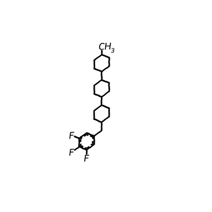 CC1CCC(C2CCC(C3CCC(Cc4cc(F)c(F)c(F)c4)CC3)CC2)CC1